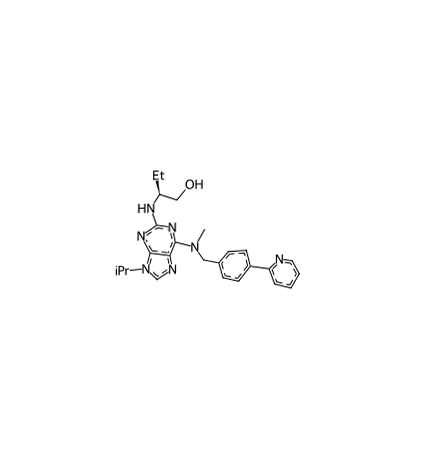 CC[C@@H](CO)Nc1nc(N(C)Cc2ccc(-c3ccccn3)cc2)c2ncn(C(C)C)c2n1